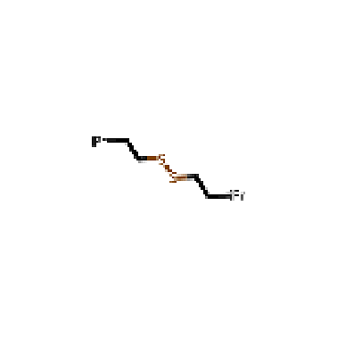 CC(C)CCSSCCC(C)C